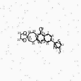 Cc1csc(-c2ccc3c(=O)n4c(nc3c2)CCC2(CC4)OCCO2)n1